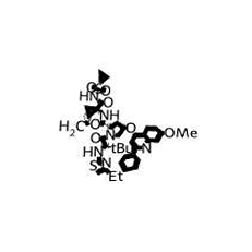 C=C[C@@H]1C[C@]1(NC(=O)[C@@H]1C[C@@H](Oc2cc(-c3ccccc3)nc3cc(OC)ccc23)CN1C(=O)[C@@H](Nc1nc(CC)cs1)C(C)(C)C)C(=O)NS(=O)(=O)C1CC1